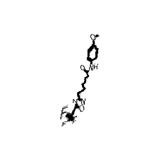 COc1ccc(NC(=O)CCCCCCc2noc(C(F)(F)F)n2)cc1